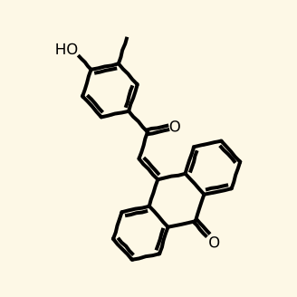 Cc1cc(C(=O)C=C2c3ccccc3C(=O)c3ccccc32)ccc1O